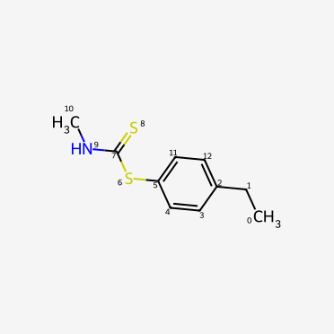 CCc1ccc(SC(=S)NC)cc1